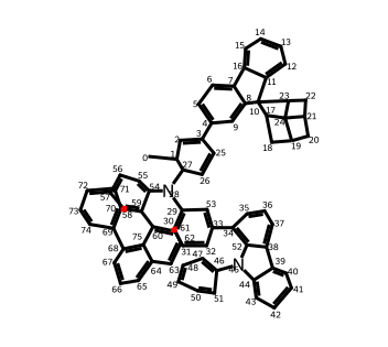 CC1C=C(c2ccc3c(c2)C2(c4ccccc4-3)C3CC4CC5CC2C453)C=CC1N(c1cccc(-c2cccc3c4ccccc4n(-c4ccccc4)c23)c1)c1ccccc1-c1cccc2cccc(-c3ccccc3)c12